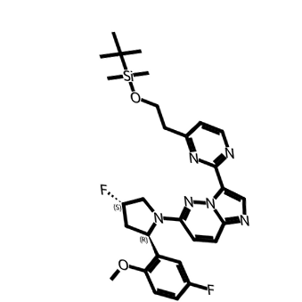 COc1ccc(F)cc1[C@H]1C[C@H](F)CN1c1ccc2ncc(-c3nccc(CCO[Si](C)(C)C(C)(C)C)n3)n2n1